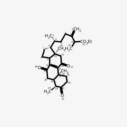 C=C(CC[C@@H](C)[C@H]1CCC2C3=C(C(=O)C[C@@]21C)[C@@]1(C)CCC(=O)[C@@H](C)C1CC3=O)C(C)C(=O)OCC